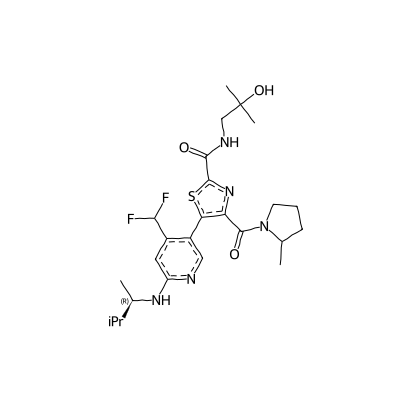 CC(C)[C@@H](C)Nc1cc(C(F)F)c(-c2sc(C(=O)NCC(C)(C)O)nc2C(=O)N2CCCC2C)cn1